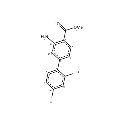 COC(=O)c1ccc(-c2ccc(F)cc2F)nc1N